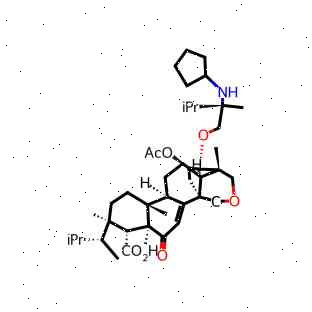 CC(=O)O[C@@H]1C[C@@]23COC[C@](C)([C@@H]2CC[C@H]2C3=CC(=O)[C@@]3(C)[C@H](C(=O)O)[C@@](C)([C@H](C)C(C)C)CC[C@]23C)[C@H]1OC[C@@](C)(NC1CCCC1)C(C)C